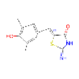 Cc1cc(/C=C2\SC(=N)NC2=O)cc(C)c1O